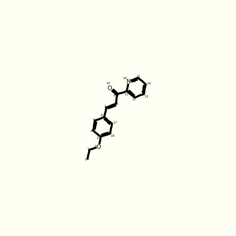 CCOc1ccc(/C=C/C(=O)c2ccccn2)cc1